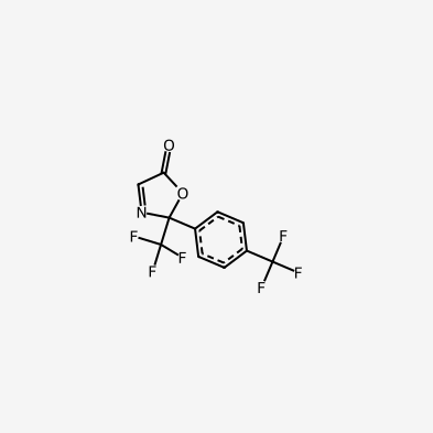 O=C1C=NC(c2ccc(C(F)(F)F)cc2)(C(F)(F)F)O1